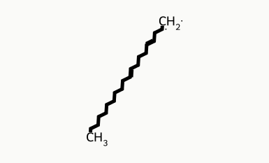 [CH2][CH]CC=CCCCC=CCCCCCCCCCC